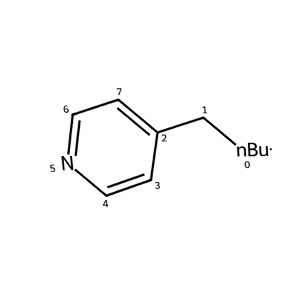 CCC[CH]Cc1ccncc1